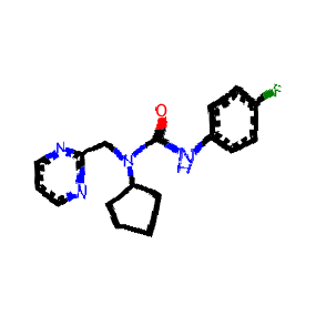 O=C(Nc1ccc(F)cc1)N(Cc1ncccn1)C1CCCC1